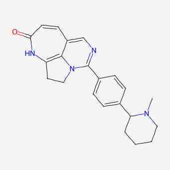 CN1CCCCC1c1ccc(C2=NC=C3C=CC(=O)NC4=C3N2CC4)cc1